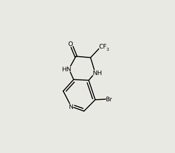 O=C1Nc2cncc(Br)c2NC1C(F)(F)F